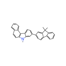 Cn1c2cc(-c3ccc4c(c3)C(C)(C)c3ccccc3-4)ccc2c2c3ccccc3ccc21